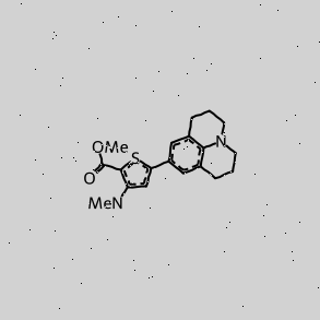 CNc1cc(-c2cc3c4c(c2)CCCN4CCC3)sc1C(=O)OC